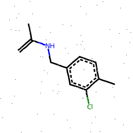 C=C(C)NCc1ccc(C)c(Cl)c1